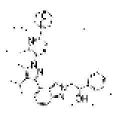 Cc1nc(C23CCC(CC2)CC3)ccc1-n1nc(-c2cccc3nn(C[C@H](O)c4ccccc4)cc23)c(C(C)C)c1C